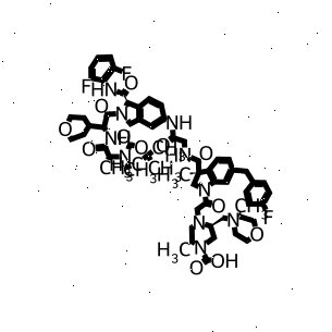 CC(C(=O)NC(C(=O)N1Cc2cc(NC(=O)CNC(=O)[C@]3(C)CN(C(=O)CN4C[C@@H](C)N(C(=O)O)C[C@@H]4CN4CCOC[C@H]4C)c4cc(Cc5ccc(F)cc5)ccc43)ccc2[C@H]1C(=O)Nc1c(F)cccc1F)C1CCOCC1)N(C)C(=O)OC(C)(C)C